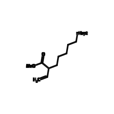 C=CC(CCCCCCCCCCCC)C(=O)OC